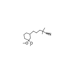 COC1(OC)CCCC(CCCC(C)(C)C#N)C1